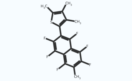 Cc1sc(-c2c(F)c(F)c3c(F)c(C)c(F)c(F)c3c2F)c(C)c1C